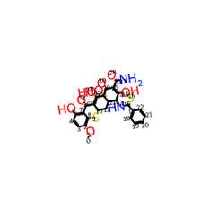 COc1ccc(O)c2c1SC1CC3C(NC(=S)c4ccccc4)C(O)=C(C(N)=O)C(=O)C3(O)C(O)=C1C2=O